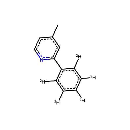 [2H]c1c([2H])c([2H])c(-c2cc(C)ccn2)c([2H])c1[2H]